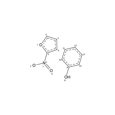 O=[N+]([O-])c1ccco1.Oc1ccccc1